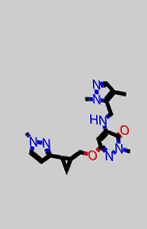 Cc1cnn(C)c1CNc1cc(OCC2CC2c2ccn(C)n2)nn(C)c1=O